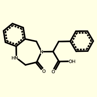 O=C(O)C(Cc1ccccc1)N1Cc2ccccc2NCC1=O